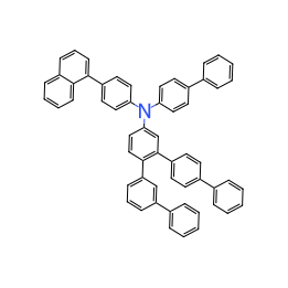 c1ccc(-c2ccc(-c3cc(N(c4ccc(-c5ccccc5)cc4)c4ccc(-c5cccc6ccccc56)cc4)ccc3-c3cccc(-c4ccccc4)c3)cc2)cc1